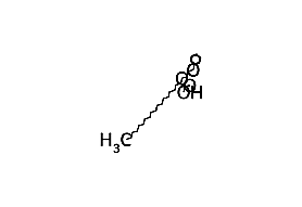 CCCCCCCCCCCCCCCCCC(OCCOc1ccccc1)C(=O)O